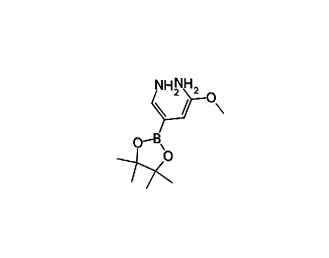 CO/C(N)=C/C(=C\N)B1OC(C)(C)C(C)(C)O1